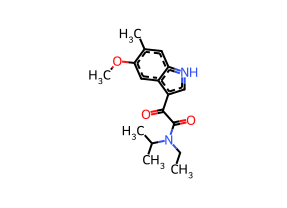 CCN(C(=O)C(=O)c1c[nH]c2cc(C)c(OC)cc12)C(C)C